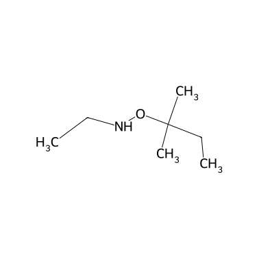 CCNOC(C)(C)CC